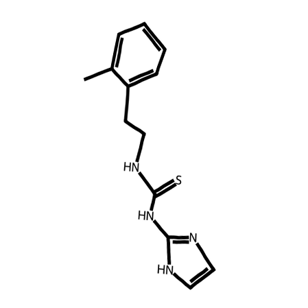 Cc1ccccc1CCNC(=S)Nc1ncc[nH]1